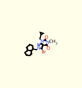 Cn1c(=O)c2c(Br)n(Cc3cccc4ccccc34)nc2n(CC2CC2)c1=O